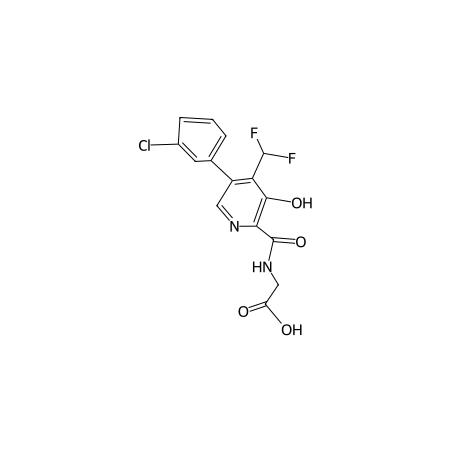 O=C(O)CNC(=O)c1ncc(-c2cccc(Cl)c2)c(C(F)F)c1O